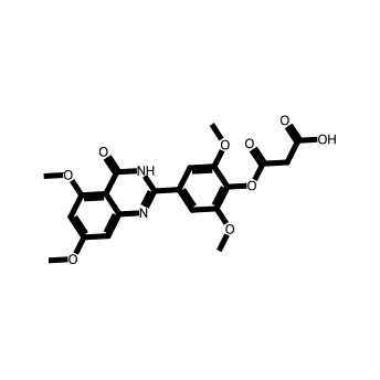 COc1cc(OC)c2c(=O)[nH]c(-c3cc(OC)c(OC(=O)CC(=O)O)c(OC)c3)nc2c1